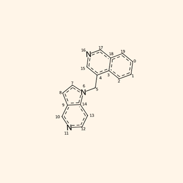 c1ccc2c(Cn3ccc4cnccc43)cncc2c1